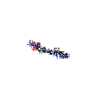 O=C1CCC(N2C(=O)c3cc(F)c(N4CCN(CCC5CCN(c6ncc(-c7ccc8c(c7)[nH]c7ccncc78)cc6C(F)(F)F)CC5)CC4)cc3C2=O)C(=O)N1